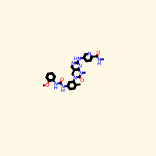 CNC(=O)c1ccc(Nc2ncc3c(n2)N(C)C(=O)N(c2cc(NC(=O)Nc4ccccc4OC)ccc2C)C3)cn1